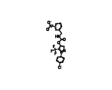 O=C(NCc1cccc([N+](=O)[O-])c1)Oc1cnn(-c2ccc(Cl)cc2)c1C(F)(F)F